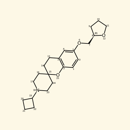 c1cc2c(cc1OC[C@H]1CCCO1)CCC1(CCN(C3CCC3)CC1)O2